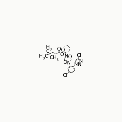 CC(C)(C)CCC(=O)OC1(N2CON(c3cc(Cl)ccc3-n3cc(Cl)nn3)CO2)CCCCO1